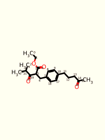 CCOC(=O)C(Cc1ccc(CCCC(C)=O)cc1)C(=O)C(C)C